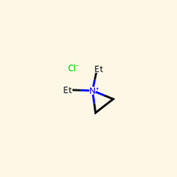 CC[N+]1(CC)CC1.[Cl-]